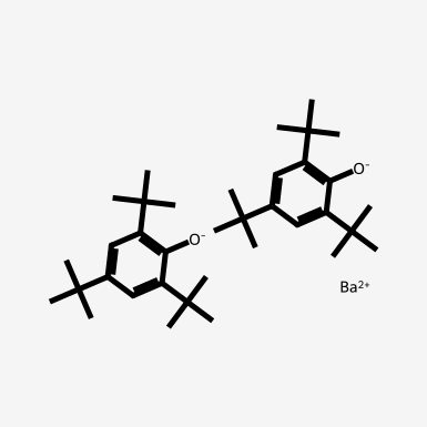 CC(C)(C)c1cc(C(C)(C)C)c([O-])c(C(C)(C)C)c1.CC(C)(C)c1cc(C(C)(C)C)c([O-])c(C(C)(C)C)c1.[Ba+2]